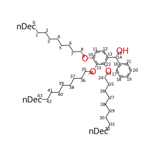 CCCCCCCCCCCCCCCCCCOc1ccc(C(O)c2ccccc2)c(OCCCCCCCCCCCCCCCCCC)c1OCCCCCCCCCCCCCCCCCC